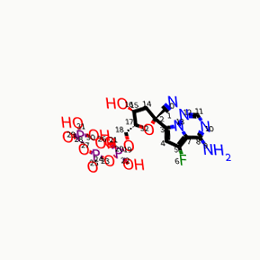 N#C[C@]1(c2cc(F)c3c(N)ncnn23)C[C@H](O)[C@@H](COP(=O)(O)OP(=O)(O)OP(=O)(O)O)O1